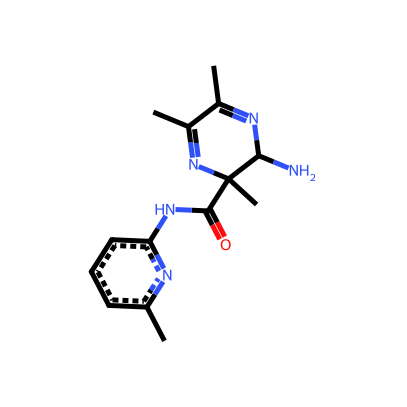 CC1=NC(N)C(C)(C(=O)Nc2cccc(C)n2)N=C1C